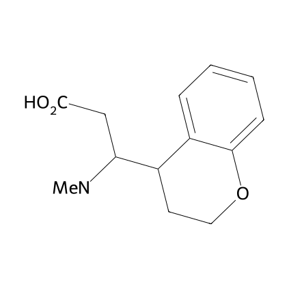 CNC(CC(=O)O)C1CCOc2ccccc21